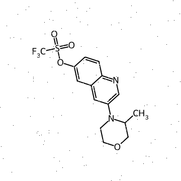 CC1COCCN1c1cnc2ccc(OS(=O)(=O)C(F)(F)F)cc2c1